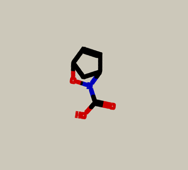 O=C(O)N1OC2C=CC1C2